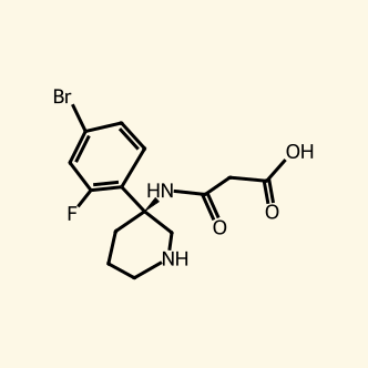 O=C(O)CC(=O)N[C@]1(c2ccc(Br)cc2F)CCCNC1